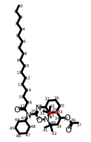 CCCCCCCCCCCCCCCCCC(=O)N(/C(=N/C1CCCCC1)ON1C(C)(C)CC(OC(C)=O)CC1(C)C)C1CCCCC1